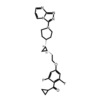 O=C(c1c(F)cc(OCC[C@@H]2C[C@@H]2C2CCN(c3nnc4ncccn34)CC2)cc1F)C1CC1